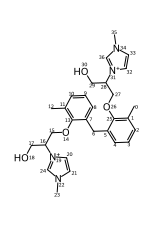 Cc1cccc(Cc2cccc(C)c2OCC(CO)[n+]2ccn(C)c2)c1OCC(CO)[n+]1ccn(C)c1